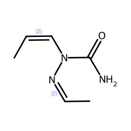 C/C=C\N(/N=C\C)C(N)=O